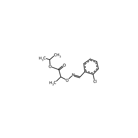 CC(C)OC(=O)C(C)ON=Cc1c[c]ccc1Cl